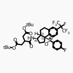 CC(C)(C)OC(=O)CC(CC(=O)OC(C)(C)C)C(=O)N[C@@H]1CC[C@@]2(S(=O)(=O)c3ccc(F)cc3)c3ccc(C(F)(C(F)(F)F)C(F)(F)F)cc3CC[C@@H]12